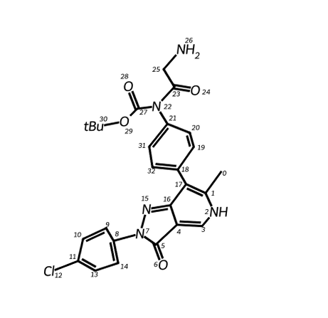 Cc1[nH]cc2c(=O)n(-c3ccc(Cl)cc3)nc-2c1-c1ccc(N(C(=O)CN)C(=O)OC(C)(C)C)cc1